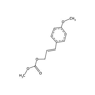 COC(=O)OCC=Cc1ccc(OC)cc1